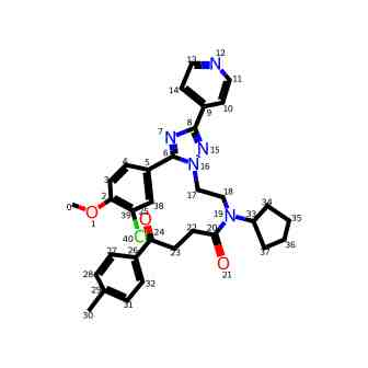 COc1ccc(-c2nc(-c3ccncc3)nn2CCN(C(=O)CCC(=O)c2ccc(C)cc2)C2CCCC2)cc1Cl